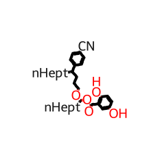 CCCCCCCC(OCCCC(CCCCCCC)c1ccc(C#N)cc1)OC(=O)c1cc(O)ccc1O